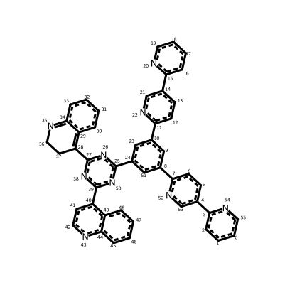 c1ccc(-c2ccc(-c3cc(-c4ccc(-c5ccccn5)cn4)cc(-c4nc(C5=c6ccccc6=NCC5)nc(-c5ccnc6ccccc56)n4)c3)nc2)nc1